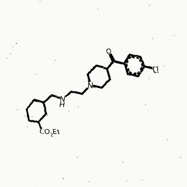 CCOC(=O)C1CCCC(CNCCN2CCC(C(=O)c3ccc(Cl)cc3)CC2)C1